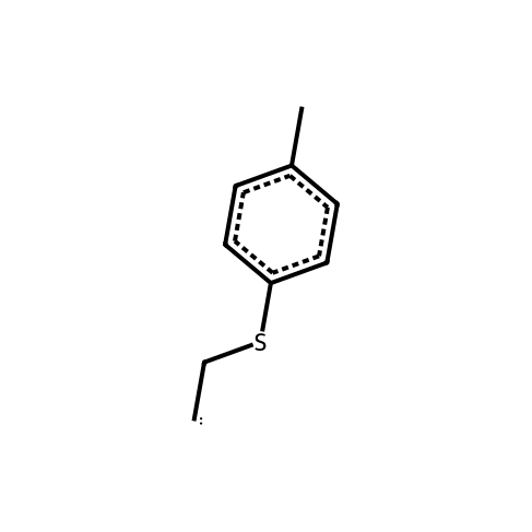 [CH]CSc1ccc(C)cc1